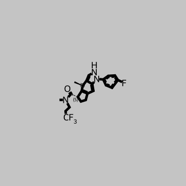 C[C@H]1C2=CNN(c3ccc(F)cc3)C2=CC2=C1[C@@H](C(=O)N(C)CCC(F)(F)F)CC2